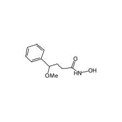 COC(CCC(=O)NO)c1ccccc1